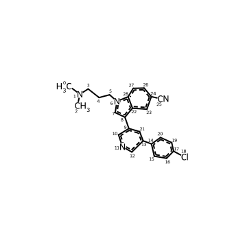 CN(C)CCCn1cc(-c2cncc(-c3ccc(Cl)cc3)c2)c2cc(C#N)ccc21